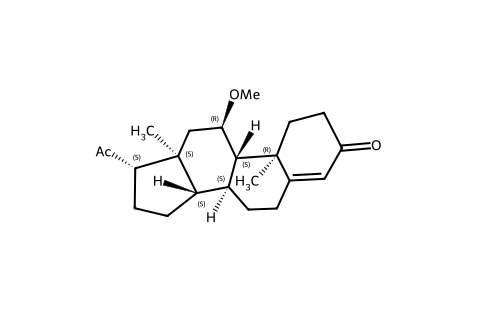 CO[C@@H]1C[C@]2(C)[C@@H](C(C)=O)CC[C@H]2[C@@H]2CCC3=CC(=O)CC[C@]3(C)[C@H]21